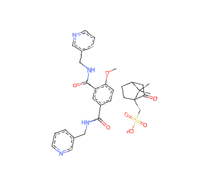 CC1(C)C2CCC1(CS(=O)(=O)O)C(=O)C2.COc1ccc(C(=O)NCc2cccnc2)cc1C(=O)NCc1cccnc1